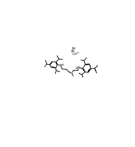 CC(C)c1cc(C(C)C)c(NCCCN(C)CCNc2c(C(C)C)cc(C(C)C)cc2C(C)C)c(C(C)C)c1.[Br-].[Br-].[Co+2]